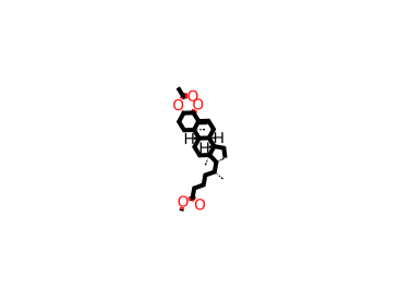 COC(=O)CCC[C@@H](C)[C@H]1CC[C@H]2[C@@H]3CC=C4C(=O)[C@@H](OC(C)=O)CC[C@]4(C)[C@H]3CC[C@]12C